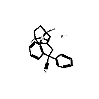 C[N+]1(C)[C@@H]2CC[C@H]1CC(CC(C#N)(c1ccccc1)c1ccccc1)C2.[Br-]